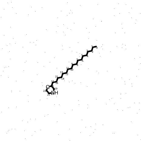 CCCCCCCCCCCCCCCCCCC1CNCCO1